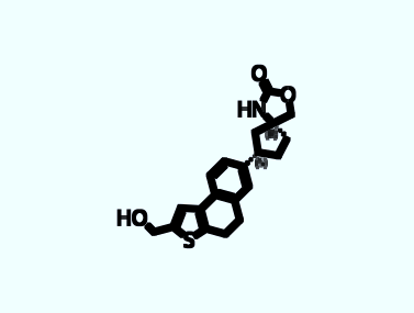 O=C1N[C@@]2(CC[C@H](c3ccc4c(c3)CCc3sc(CO)cc3-4)C2)CO1